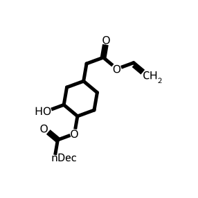 C=COC(=O)CC1CCC(OC(=O)CCCCCCCCCC)C(O)C1